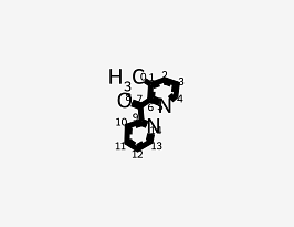 Cc1cccnc1C(=O)c1ccccn1